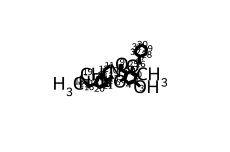 Cc1c(O)cc(O)c(C(=O)N2CCc3cc(CN(C)C)ccc3C2)c1OCC1CCCCC1